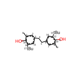 Cc1cc(CCc2cc(C)c(O)c(C(C)(C)C)c2)cc(C(C)(C)C)c1O